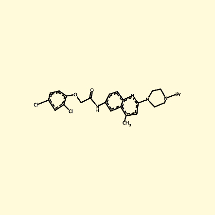 Cc1cc(N2CCN(C(C)C)CC2)nc2ccc(NC(=O)COc3ccc(Cl)cc3Cl)cc12